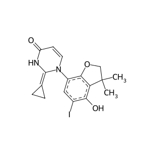 CC1(C)COc2c(N3C=CC(=O)NC3=C3CC3)cc(I)c(O)c21